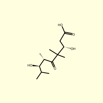 CC(C)[C@@H](O)[C@H](C)C(=O)C(C)(C)[C@@H](O)CC(=O)O